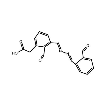 O=Cc1ccccc1C=NN=Cc1cccc(CC(=O)O)c1C=O